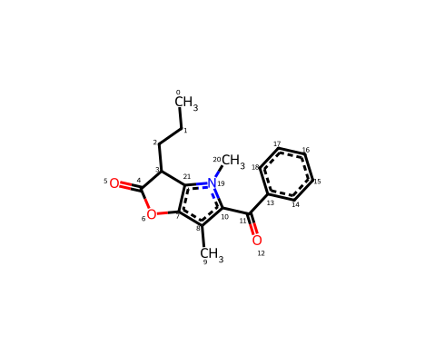 CCCC1C(=O)Oc2c(C)c(C(=O)c3ccccc3)n(C)c21